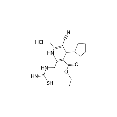 CCOC(=O)C1=C(CNC(=N)S)NC(C)=C(C#N)C1C1CCCC1.Cl